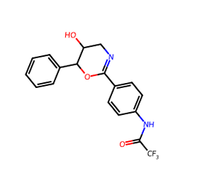 O=C(Nc1ccc(C2=NCC(O)C(c3ccccc3)O2)cc1)C(F)(F)F